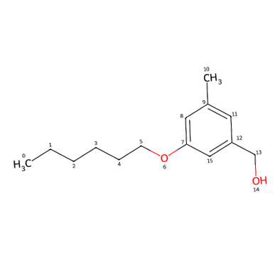 CCCCCCOc1cc(C)cc(CO)c1